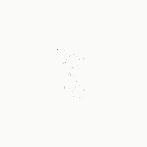 COC1=CC(=O)c2sc(-c3c(F)cccc3F)nc2C1=O